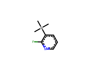 C[Si](C)(C)c1cccnc1F